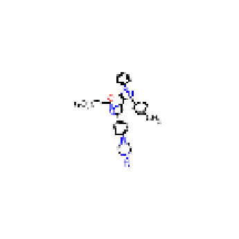 Cc1ccc(-c2nn(-c3ccccc3)cc2C2CC(c3ccc(N4CCNCC4)cc3)=NN2C(=O)CCC(=O)O)cc1